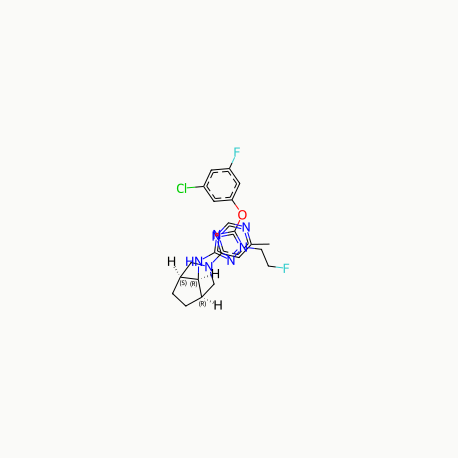 Cc1cc(N2C[C@H]3CC[C@@H](C2)[C@H]3Nc2nc(Oc3cc(F)cc(Cl)c3)n(CCF)n2)ncn1